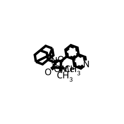 COC(=O)C12CC3CC(C1)C(N1C(=O)C(C)(C)C1c1cccc4cnccc14)C(C3)C2